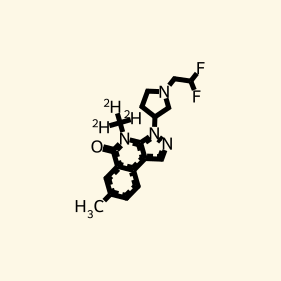 [2H]C([2H])([2H])n1c(=O)c2cc(C)ccc2c2cnn(C3CCN(CC(F)F)C3)c21